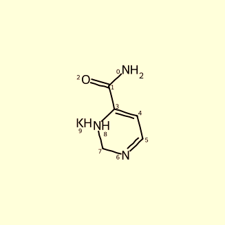 NC(=O)C1=CC=NCN1.[KH]